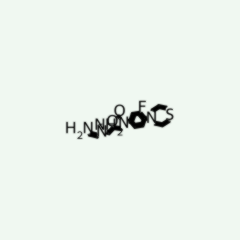 N/C=C\N(N)CC1CN(c2ccc(N3CCCSCCC3)c(F)c2)C(=O)O1